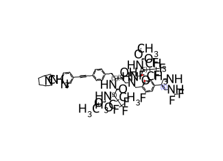 COC(=O)N[C@H](C(=O)N[C@@H](Cc1ccc(C#Cc2ccc(N3CC4CCC(C3)N4C)nc2)cc1)[C@@H](O)CN(Cc1c(F)cc(/C(C=N)=C/NC(F)F)cc1F)NC(=O)[C@@H](NC(=O)OC)C(C)(C)C(F)(F)F)C(C)(C)C(F)(F)F